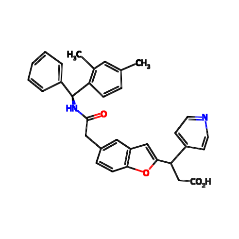 Cc1ccc([C@@H](NC(=O)Cc2ccc3oc(C(CC(=O)O)c4ccncc4)cc3c2)c2ccccc2)c(C)c1